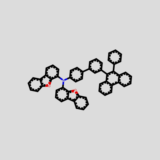 c1ccc(-c2c(-c3cccc(-c4ccc(N(c5cccc6c5oc5ccccc56)c5cccc6c5oc5ccccc56)cc4)c3)c3ccccc3c3ccccc23)cc1